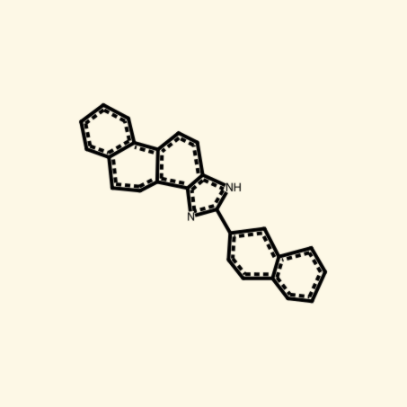 c1ccc2cc(-c3nc4c(ccc5c6ccccc6ccc54)[nH]3)ccc2c1